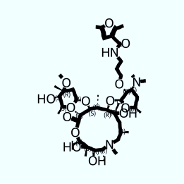 CO[C@]1(C)C[C@H](O[C@H]2[C@H](C)[C@@H](O[C@@H]3O[C@H](C)C[C@H](N(C)C)[C@H]3OCCCNC(=O)c3cc(C)oc3C)[C@](C)(O)C[C@@H](C)CN(C)[C@H](C)[C@@H](O)[C@](C)(O)[C@@H](I)OC(=O)[C@@H]2C)O[C@@H](C)[C@@H]1O